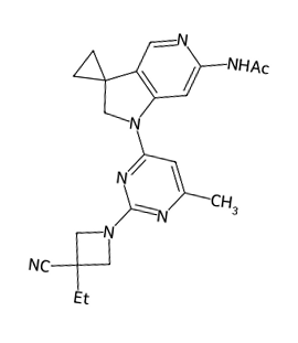 CCC1(C#N)CN(c2nc(C)cc(N3CC4(CC4)c4cnc(NC(C)=O)cc43)n2)C1